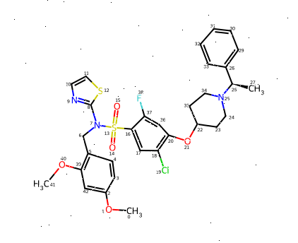 COc1ccc(CN(c2nccs2)S(=O)(=O)c2cc(Cl)c(OC3CCN([C@H](C)c4ccccc4)CC3)cc2F)c(OC)c1